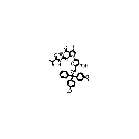 COc1ccc(C(OC[C@H]2O[C@H](n3cc(I)c4c(=O)[nH]c(NC(=O)C(C)C)nc43)C[C@@H]2O)(c2ccccc2)c2ccc(OC)cc2)cc1